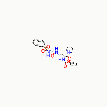 CC(C)(C)OC(=O)NC(CCNC(=O)CNS(=O)(=O)c1ccc2ccccc2c1)C(=O)N1CCCCC1